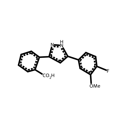 COc1cc(-c2cc(-c3ccccc3C(=O)O)n[nH]2)ccc1F